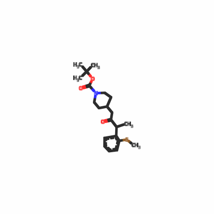 CSc1ccccc1C(C)C(=O)CC1CCN(C(=O)OC(C)(C)C)CC1